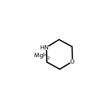 C1COCCN1.[MgH2]